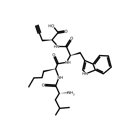 C#CC[C@H](NC(=O)[C@@H](Cc1c[nH]c2ccccc12)NC(=O)[C@H](CCCC)NC(=O)[C@H](N)CC(C)C)C(=O)O